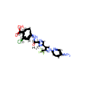 Cn1c(-c2cn(-c3ccc(N)cn3)nc2C(F)(F)F)cnc1C(=O)Nc1ccc(C(=O)O)c(Cl)c1